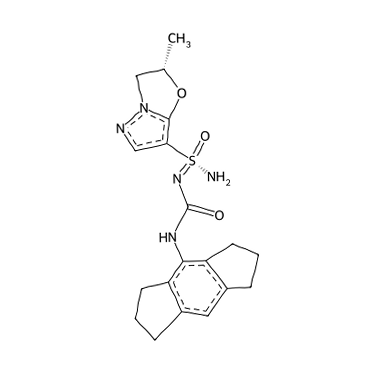 C[C@H]1Cn2ncc([S@@](N)(=O)=NC(=O)Nc3c4c(cc5c3CCC5)CCC4)c2O1